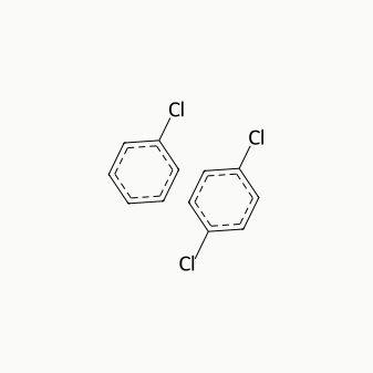 Clc1ccc(Cl)cc1.Clc1ccccc1